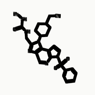 CC(C)NC(=O)NCc1nc2cnc3c(ccn3S(=O)(=O)c3ccccc3)c2n1C1CCC(CC#N)CC1